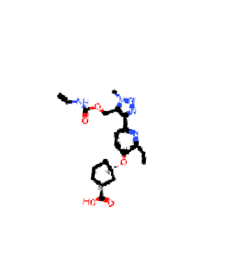 C=CNC(=O)OCc1c(-c2ccc(O[C@H]3CCC[C@H](C(=O)O)C3)c(CC)n2)nnn1C